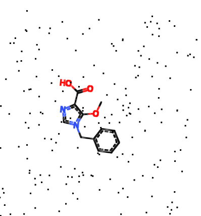 COc1c(C(=O)O)ncn1Cc1ccccc1